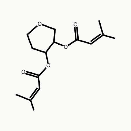 CC(C)=CC(=O)OC1CCOCC1OC(=O)C=C(C)C